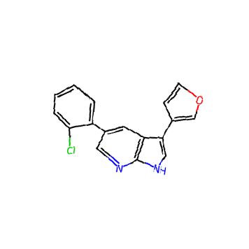 Clc1ccccc1-c1cnc2[nH]cc(-c3ccoc3)c2c1